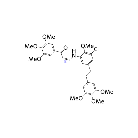 COc1cc(CCc2cc(Cl)c(OC)c(N/C=C\C(=O)c3cc(OC)c(OC)c(OC)c3)c2)cc(OC)c1OC